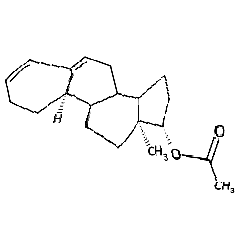 CC(=O)O[C@H]1CCC2C3CC=C4C=CCC[C@@H]4C3CC[C@@]21C